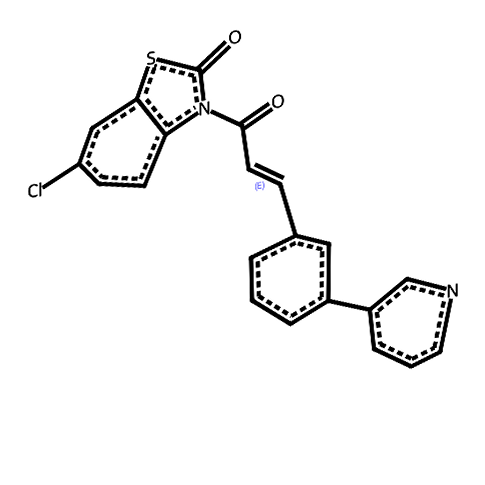 O=C(/C=C/c1cccc(-c2cccnc2)c1)n1c(=O)sc2cc(Cl)ccc21